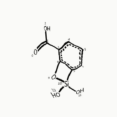 O=C(O)c1cccc2c1O[Si]2(O)O